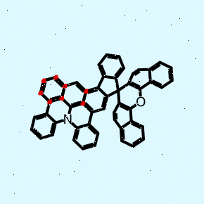 c1ccc(-c2ccccc2N(c2ccccc2-c2ccc3c(c2)C2(c4ccccc4-3)c3ccc4ccccc4c3Oc3c2ccc2ccccc32)c2cccc3ccccc23)cc1